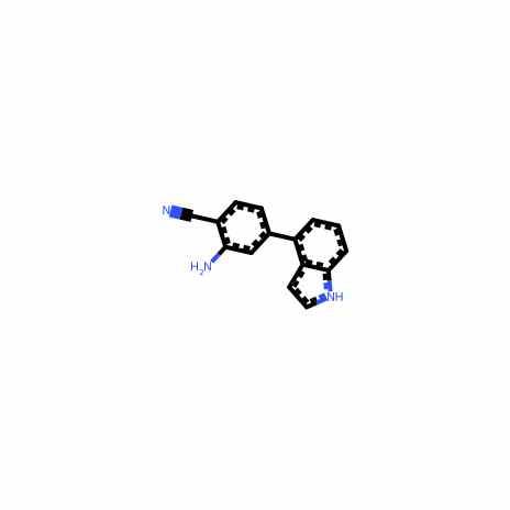 N#Cc1ccc(-c2cccc3[nH]ccc23)cc1N